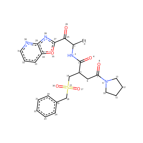 CCC(NC(=O)C(CC(=O)N1CCCC1)CS(=O)(=O)Cc1ccccc1)C(=O)c1nc2ncccc2o1